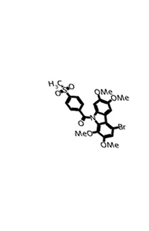 COc1cc2c3c(Br)cc(OC)c(OC)c3n(C(=O)c3ccc(S(C)(=O)=O)cc3)c2cc1OC